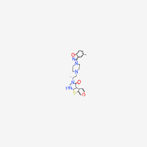 Cc1ccc2onc(N3CCN(C[C@@H](C)N4CNC5SC6=COC=CC6C5C4=O)CC3)c2c1